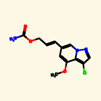 COc1cc(/C=C/COC(N)=O)cn2ncc(Cl)c12